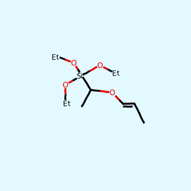 CC=COC(C)[Si](OCC)(OCC)OCC